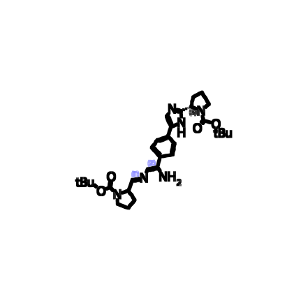 CC(C)(C)OC(=O)N1CCCC1/C=N/C=C(\N)c1ccc(-c2cnc([C@@H]3CCCN3C(=O)OC(C)(C)C)[nH]2)cc1